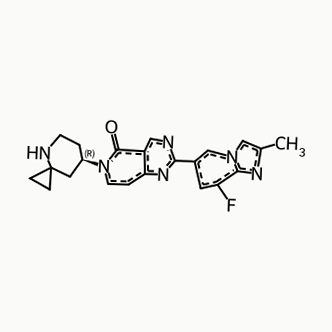 Cc1cn2cc(-c3ncc4c(=O)n([C@@H]5CCNC6(CC6)C5)ccc4n3)cc(F)c2n1